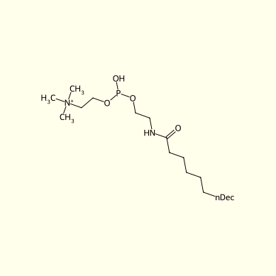 CCCCCCCCCCCCCCCC(=O)NCCOP(O)OCC[N+](C)(C)C